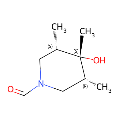 C[C@@H]1CN(C=O)C[C@H](C)[C@]1(C)O